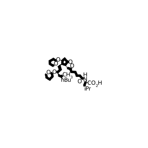 CCCC[C@H](C)C[C@H](/C=C/[C@H]1[C@H](OC2CCCCO2)CC(=O)[C@@H]1CC(=O)CCCCC(=O)N[C@@H](CC(C)C)C(=O)O)OC1CCCCO1